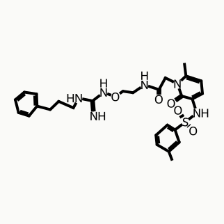 Cc1cccc(S(=O)(=O)Nc2ccc(C)n(CC(=O)NCCONC(=N)NCCCc3ccccc3)c2=O)c1